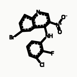 O=[N+]([O-])c1cnc2ccc(Br)cc2c1Nc1cccc(Cl)c1F